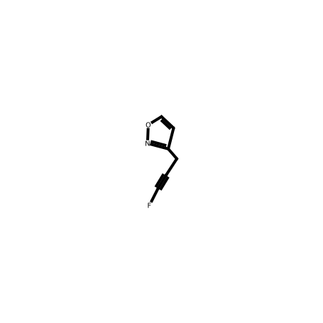 FC#CCc1c[c]on1